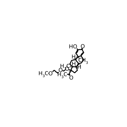 COCCOCO[C@]1(C(C)=O)CC[C@H]2[C@@H]3CCC4=CC(=O)C(O)=C[C@]4(C)[C@H]3CC[C@@]21C